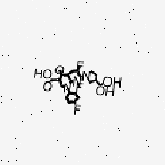 O=C(O)c1cn(-c2ccc(F)cc2F)c2nc(N3CCC(C(O)O)C3)c(F)cc2c1=O